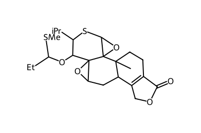 CCC(OC1C(C(C)C)SC2OC23C2(C)CCC4=C(COC4=O)C2CC2OC213)SC